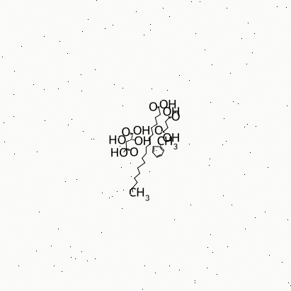 CCCCCCCCCCCCCCCCCC(=O)O.Cc1ccccc1.O=C(O)C(O)C(O)C(=O)O.O=C(O)CCC(=O)O